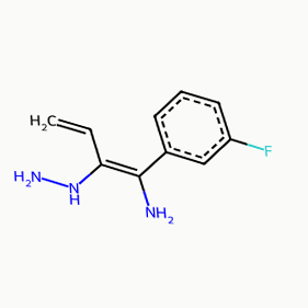 C=C/C(NN)=C(/N)c1cccc(F)c1